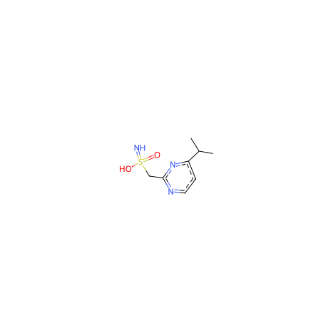 CC(C)c1ccnc(CS(=N)(=O)O)n1